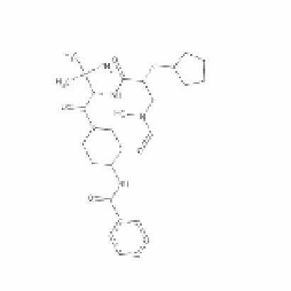 CC(C)(C)[C@H](NC(=O)[C@H](CC1CCCC1)CN(O)C=O)C(=O)N1CCC(NC(=O)c2ccccc2)CC1